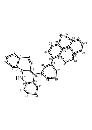 C1=Cc2ccccc2C2Nc3ccccc3C(c3cccc(-c4ccc5ccc6cccc7ccc4c5c67)c3)=C12